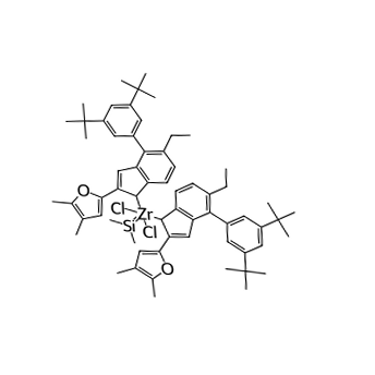 CCc1ccc2c(c1-c1cc(C(C)(C)C)cc(C(C)(C)C)c1)C=C(c1cc(C)c(C)o1)[CH]2[Zr]([Cl])([Cl])([CH]1C(c2cc(C)c(C)o2)=Cc2c1ccc(CC)c2-c1cc(C(C)(C)C)cc(C(C)(C)C)c1)=[Si](C)C